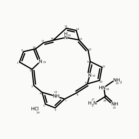 C1=Cc2cc3ccc(cc4nc(cc5ccc(cc1n2)[nH]5)C=C4)[nH]3.Cl.N=C(N)NN